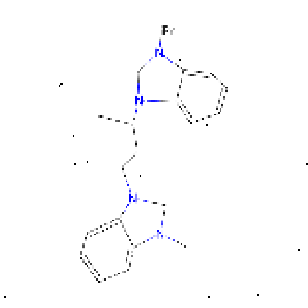 CC(C)N1CN(C(C)CCN2CN(C)c3ccccc32)c2ccccc21